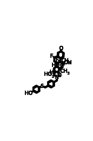 C[C@]12C=CC(=O)C=C1[C@@H](F)C[C@H]1[C@@H]3C[C@H]4CN(Cc5ccc(CSc6ccc(O)cc6)cc5)O[C@@]4(C(=O)O)[C@@]3(C)C[C@H](O)[C@@]12F